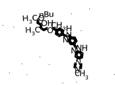 CCCCOC(C)CC(O)C(C)CCO[C@@H](C)c1ccc(-c2nc3cc(-c4nc5cc(N6CCN(C)CC6)ccc5[nH]4)ccc3[nH]2)cc1